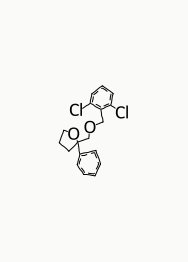 Clc1cccc(Cl)c1COCC1(c2ccccc2)CCCO1